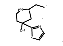 CCC1CC(O)(c2nccs2)CCN1